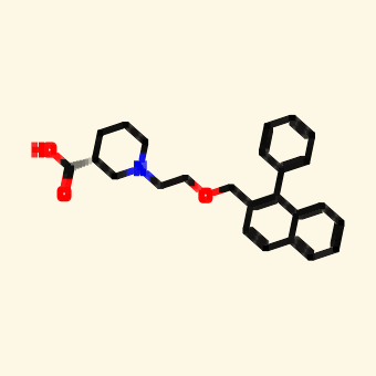 O=C(O)[C@@H]1CCCN(CCOCc2ccc3ccccc3c2-c2ccccc2)C1